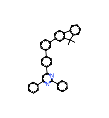 CC1(C)c2ccccc2-c2ccc(-c3cccc(-c4ccc(-c5cc(-c6ccccc6)nc(-c6ccccc6)n5)cc4)c3)cc21